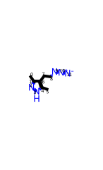 Cc1n[nH]c(C)c1CCN=[N+]=[N-]